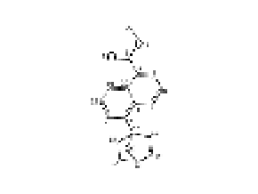 COC(=O)c1cccc2c(C34C=CC(CC3)C4)cccc12